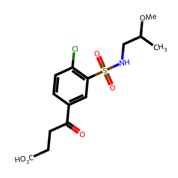 COC(C)CNS(=O)(=O)c1cc(C(=O)CCC(=O)O)ccc1Cl